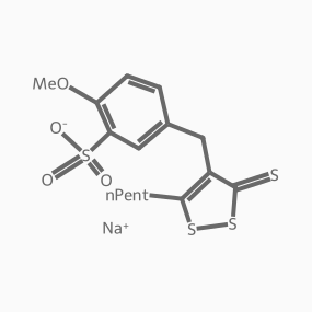 CCCCCc1ssc(=S)c1Cc1ccc(OC)c(S(=O)(=O)[O-])c1.[Na+]